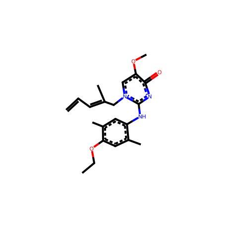 C=C/C=C(\C)Cn1cc(OC)c(=O)nc1Nc1cc(C)c(OCC)cc1C